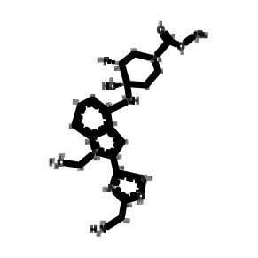 CC(C)(C)OC(=O)N1CC[C@@](O)(Nc2cccc3c2cc(-c2noc(CN)n2)n3CC(F)(F)F)[C@H](F)C1